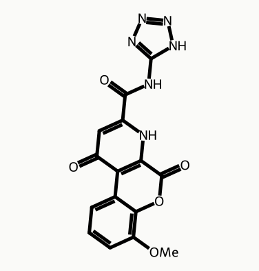 COc1cccc2c1oc(=O)c1[nH]c(C(=O)Nc3nnn[nH]3)cc(=O)c12